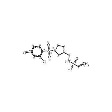 C=CS(=O)(=O)NCC1CCN(S(=O)(=O)c2ccc(Cl)cc2Cl)C1